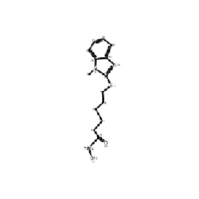 Cn1c(SCCCCCC(=O)NO)nc2ccccc21